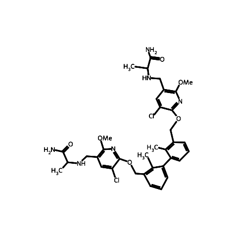 COc1nc(OCc2cccc(-c3cccc(COc4nc(OC)c(CNC(C)C(N)=O)cc4Cl)c3C)c2C)c(Cl)cc1CNC(C)C(N)=O